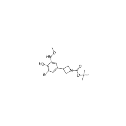 CONc1cc(C2CN(C(=O)OC(C)(C)C)C2)cc(Br)c1O